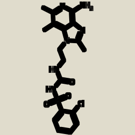 Cc1nc(N)c2nc(C)n(CCNC(=O)NS(=O)(=O)c3ccccc3Cl)c2c1C